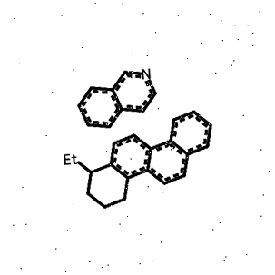 CCC1CCCc2c1ccc1c2ccc2ccccc21.c1ccc2cnccc2c1